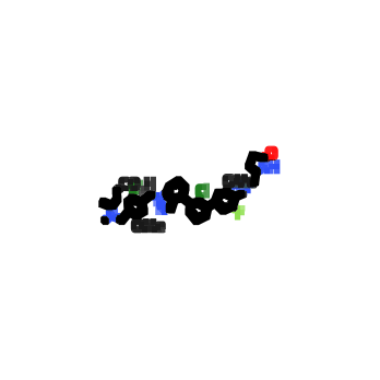 C=C(CCC(=O)O)N(C)Cc1cc(Cl)c(Cn2ncc3c(-c4cccc(-c5cc(F)c(CNCC6CCC(=O)N6)c(OC)c5)c4Cl)cccc32)cc1OC